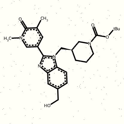 Cc1cc(-c2nc3cc(CO)ccc3n2C[C@@H]2CCCN(C(=O)OC(C)(C)C)C2)cn(C)c1=O